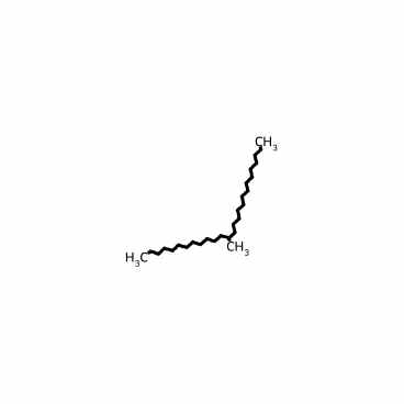 CCCCCCCCCCCCCCC(C)CCCCCCCCCCCC